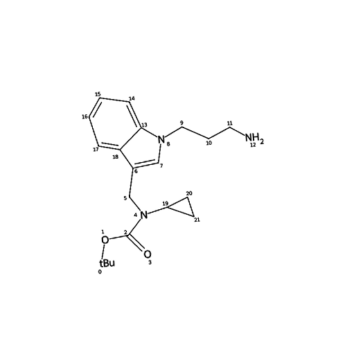 CC(C)(C)OC(=O)N(Cc1cn(CCCN)c2ccccc12)C1CC1